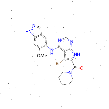 COc1cc2[nH]ncc2cc1Nc1ncnc2[nH]c(C(=O)N3CCCCC3)c(Br)c12